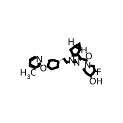 Cc1cccnc1O[C@H]1CC[C@@H](CCn2nc(C(=O)N3CC[C@H](O)[C@H](F)C3)c3c2C[C@H]2C[C@@H]32)CC1